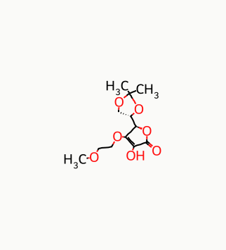 COCCOC1=C(O)C(=O)O[C@@H]1[C@@H]1COC(C)(C)O1